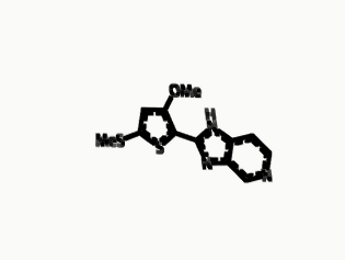 COc1cc(SC)sc1-c1nc2cnccc2[nH]1